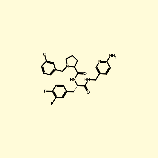 Nc1ccc(CNC(=O)[C@H](Cc2ccc(F)c(F)c2)NC(=O)C2CCCN2Cc2cccc(Cl)c2)cn1